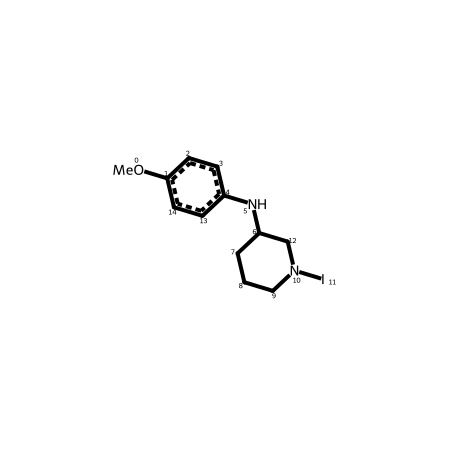 COc1ccc(NC2CCCN(I)C2)cc1